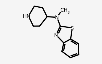 CN(c1nc2ccccc2s1)C1CCNCC1